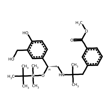 COC(=O)c1cccc(CC(C)(C)NC[C@H](O[Si](C)(C)C(C)(C)C)c2ccc(O)c(CO)c2)c1